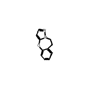 c1ccc2c(c1)CCn1nccc1O2